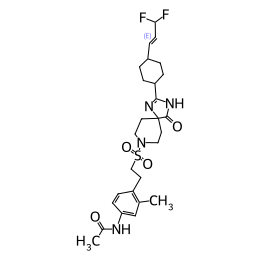 CC(=O)Nc1ccc(CCS(=O)(=O)N2CCC3(CC2)N=C(C2CCC(/C=C/C(F)F)CC2)NC3=O)c(C)c1